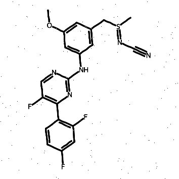 COc1cc(CS(C)=NC#N)cc(Nc2ncc(F)c(-c3ccc(F)cc3F)n2)c1